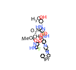 CO[C@@H](C)COc1nc2[nH]cc(F)c2cc1Oc1cc(N2CCC3(CC2)CN([C@@H]2CCC[C@@H]2c2ccccc2C(C)C)C3)ccc1C(=O)NS(=O)(=O)c1cnc(NC[C@H]2CC[C@](C)(O)CC2)c([N+](=O)[O-])c1